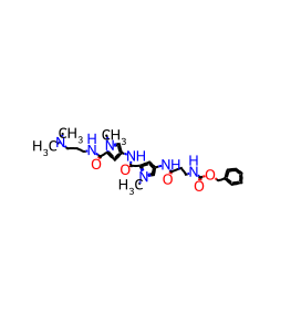 CN(C)CCCNC(=O)c1cc(NC(=O)c2cc(NC(=O)CCNC(=O)OCc3ccccc3)cn2C)cn1C